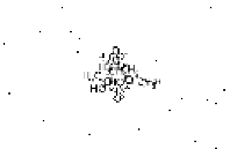 CC(=O)[O-].CC(=O)[O-].CCc1cc(C=NC2CC3CCC2(N=Cc2cc(CC)cc(CC)c2O)C3)c(O)c(CC)c1.[Co+2]